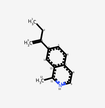 C=C(CC)c1ccc2ccnc(C)c2c1